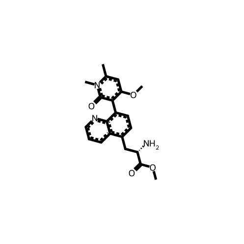 COC(=O)[C@@H](N)Cc1ccc(-c2c(OC)cc(C)n(C)c2=O)c2ncccc12